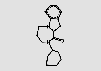 O=C1C2Cc3ccccc3N2CCCN1C1CCCCC1